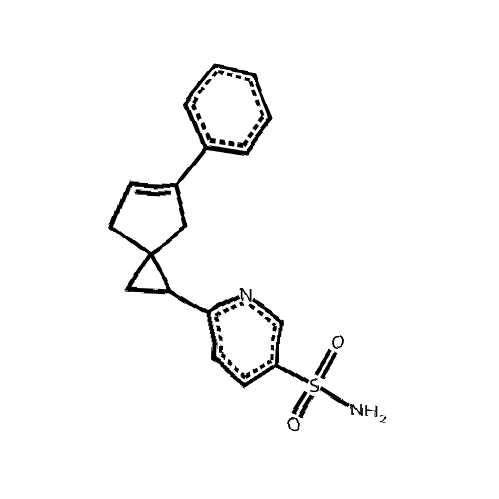 NS(=O)(=O)c1ccc(C2CC23CC=C(c2ccccc2)C3)nc1